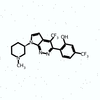 CN1CCC[C@@H](n2ccc3c(C(F)(F)F)c(-c4ccc(C(F)(F)F)cc4O)nnc32)C1